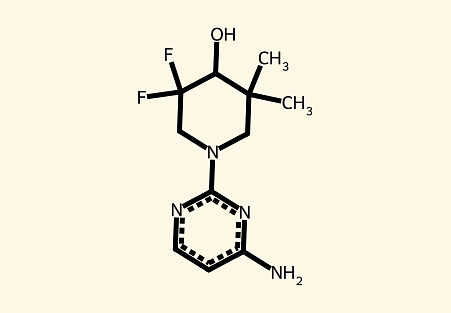 CC1(C)CN(c2nccc(N)n2)CC(F)(F)C1O